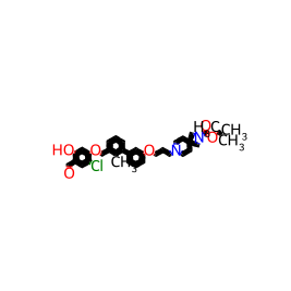 Cc1c(COc2cc(O)c(C=O)cc2Cl)cccc1-c1cccc(OCCCN2CCC3(CC2)CN(C(=O)OC(C)(C)C)C3)c1